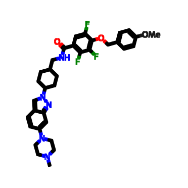 COc1ccc(COc2c(F)cc(C(=O)NCC3CCC(n4cc5ccc(N6CCN(C)CC6)cc5n4)CC3)c(F)c2F)cc1